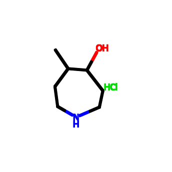 CC1CCNCCC1O.Cl